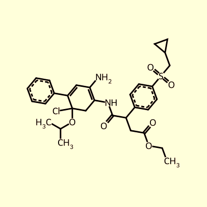 CCOC(=O)CC(C(=O)NC1=C(N)C=C(c2ccccc2)C(Cl)(OC(C)C)C1)c1ccc(S(=O)(=O)CC2CC2)cc1